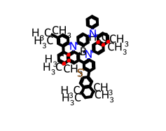 CC(C)(C)c1ccc(N2B3c4cc(N(c5ccccc5)c5ccccc5)ccc4N(c4ccc(C(C)(C)C)cc4-c4ccccc4)c4cc(C(C)(C)C)cc(c43)-c3c2ccc2c3sc3cc4c(cc32)C(C)(C)CCC4(C)C)cc1